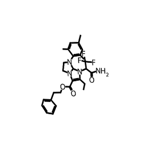 CCC1=C(C(=O)OCCc2ccccc2)N2CCN(c3c(C)cc(C)cc3C)C2N1C(C(N)=O)C(F)(F)F